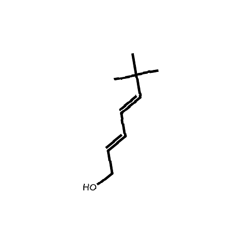 CC(C)(C)/C=C/C=C/CO